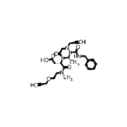 C#CCOCCN(C)C(=O)[C@H](CC(=O)O)N1C(=O)CN(CC#C)N(C(=O)NCc2ccccc2)[C@H]1C